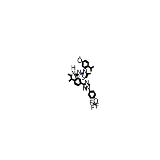 COc1ccc(C(C)C)c(-n2c(C)cs/c2=N\C(=O)NC(C)C(C)c2ccc(-c3ncn(-c4ccc(OC(F)(F)F)cc4)n3)cc2)c1